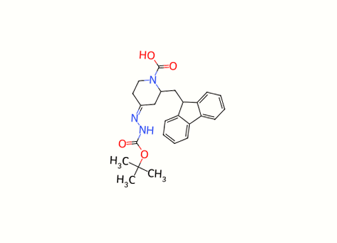 CC(C)(C)OC(=O)N/N=C1/CCN(C(=O)O)C(CC2c3ccccc3-c3ccccc32)C1